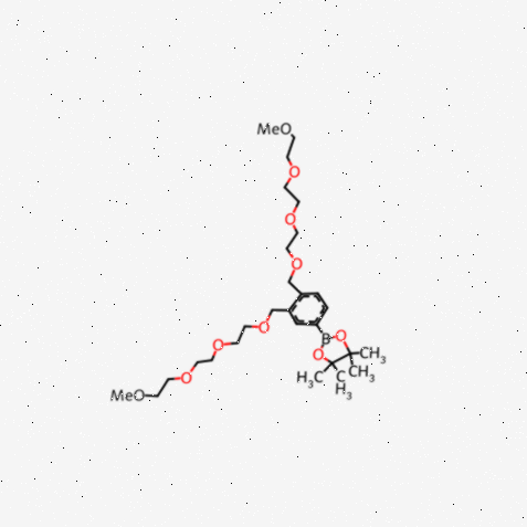 COCCOCCOCCOCc1ccc(B2OC(C)(C)C(C)(C)O2)cc1COCCOCCOCCOC